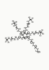 CC(C)(C)CCOCCOCCO[C@@H]1OC(COCCCSCCC(C)(C)C)[C@@H](OCCCSCCC(C)(C)C)[C@H](OCCCSCCC(C)(C)C)C1OCCCSCCC(C)(C)C